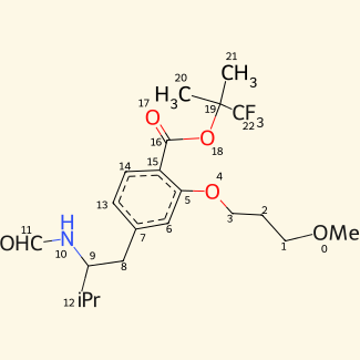 COCCCOc1cc(CC(NC=O)C(C)C)ccc1C(=O)OC(C)(C)C(F)(F)F